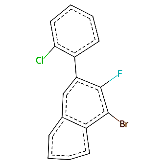 Fc1c(-c2ccccc2Cl)cc2ccccc2c1Br